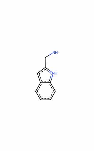 [NH]Cc1cc2ccccc2[nH]1